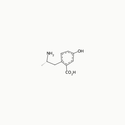 C[C@H](N)Cc1ccc(O)cc1C(=O)O